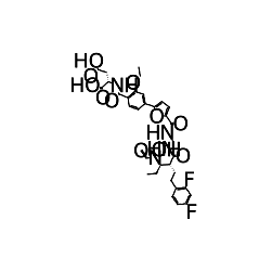 CCOc1cc(-c2ccc(C(=O)NCNC(=O)[C@H](CCc3ccc(F)cc3F)[C@@H](CC)N(O)C=O)o2)ccc1C(=O)N[C@@H](CC(=O)O)C(=O)O